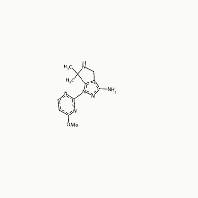 COc1ccnc(-n2nc(N)c3c2C(C)(C)NC3)n1